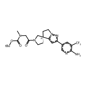 CN(CC(=O)N1CC[C@@]2(CCn3nc(-c4cnc(N)c(C(F)(F)F)c4)cc32)C1)C(=O)OC(C)(C)C